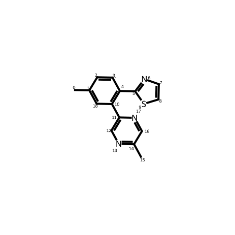 Cc1c[c]c(-c2nccs2)c(-c2cnc(C)cn2)c1